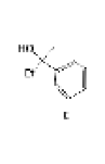 CCC(C)(O)c1cccc(Cl)c1